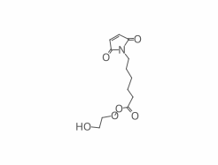 O=C(CCCCCN1C(=O)C=CC1=O)OOCCO